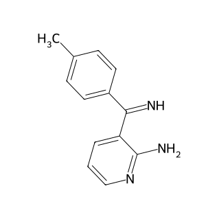 Cc1ccc(C(=N)c2cccnc2N)cc1